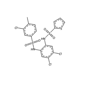 Cc1ccc(S(=O)(=O)Nc2cc(Cl)c(Cl)cc2NS(=O)(=O)c2cccs2)cc1Cl